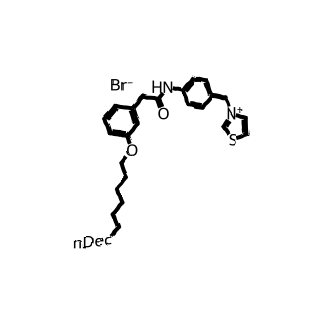 CCCCCCCCCCCCCCCCOc1cccc(CC(=O)Nc2ccc(C[n+]3ccsc3)cc2)c1.[Br-]